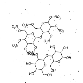 O=[N+]([O-])OCC1OC(O[N+](=O)[O-])C(O[N+](=O)[O-])C(O[N+](=O)[O-])C1OC1OC(CO[N+](=O)[O-])C(O[N+](=O)[O-])C(O[N+](=O)[O-])C1O[N+](=O)[O-].OCC1OC(OC2C(CO)OC(O)C(O)C2O)C(O)C(O)C1O